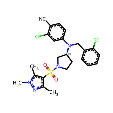 Cc1nn(C)c(C)c1S(=O)(=O)N1CC[C@H](N(Cc2ccccc2Cl)c2ccc(C#N)c(Cl)c2)C1